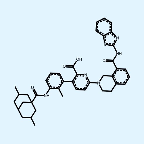 Cc1c(NC(=O)C23CC(C)CC(CC(C)C2)C3)cccc1-c1ccc(N2CCc3cccc(C(=O)Nc4nc5ccccc5s4)c3C2)nc1C(=O)O